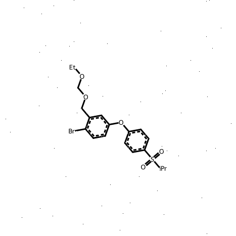 CCOCOCc1cc(Oc2ccc(S(=O)(=O)C(C)C)cc2)ccc1Br